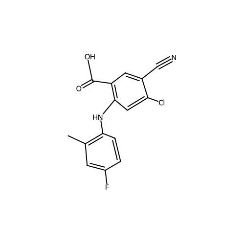 Cc1cc(F)ccc1Nc1cc(Cl)c(C#N)cc1C(=O)O